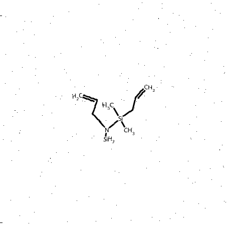 C=CCN([SiH3])[Si](C)(C)CC=C